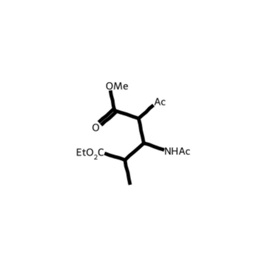 CCOC(=O)C(C)C(NC(C)=O)C(C(C)=O)C(=O)OC